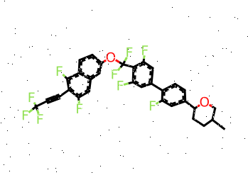 CC1CCC(c2ccc(-c3cc(F)c(C(F)(F)Oc4ccc5c(F)c(C#CC(F)(F)F)c(F)cc5c4)c(F)c3)c(F)c2)OC1